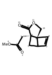 COC(=O)C[C@@]12CC3C=C[C@]31COC2=O